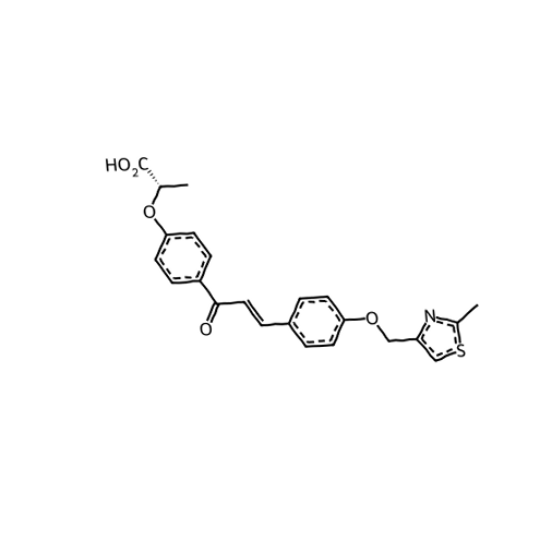 Cc1nc(COc2ccc(/C=C/C(=O)c3ccc(O[C@@H](C)C(=O)O)cc3)cc2)cs1